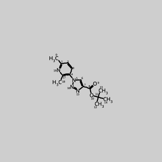 Cc1ccc(-n2cc(C(=O)OC(C)(C)C)nn2)c(C)n1